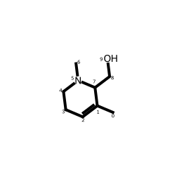 CC1=CCCN(C)C1CO